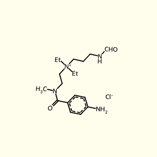 CC[N+](CC)(CCCNC=O)CCN(C)C(=O)c1ccc(N)cc1.[Cl-]